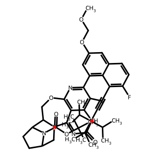 COCOc1cc(-c2nc3c4c(nc(=O)[nH]c4c2F)N2CC4CCC(C2CO3)N4C(=O)OC(C)(C)C)c2c(C#C[Si](C(C)C)(C(C)C)C(C)C)c(F)ccc2c1